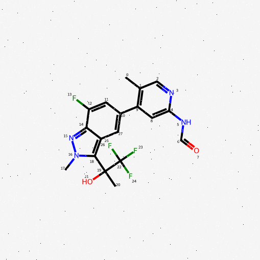 Cc1cnc(NC=O)cc1-c1cc(F)c2nn(C)c(C(C)(O)C(F)(F)F)c2c1